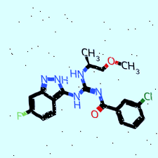 COC[C@H](C)N/C(=N/C(=O)c1cccc(Cl)c1)Nc1[nH]nc2cc(F)ccc12